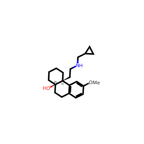 COc1ccc2c(c1)[C@@]1(CCNCC3CC3)CCCC[C@@]1(O)CC2